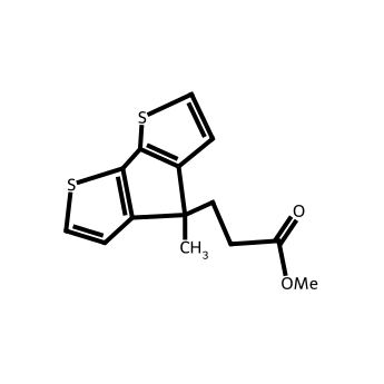 COC(=O)CCC1(C)c2ccsc2-c2sccc21